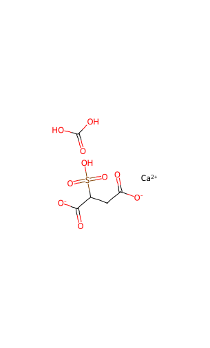 O=C(O)O.O=C([O-])CC(C(=O)[O-])S(=O)(=O)O.[Ca+2]